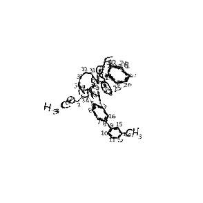 COC[C@@H]1[C@@H](c2ccc(-c3cccc(C)c3)cc2)[C@@H]2CN(S(=O)(=O)c3ccccc3F)CCCCN12